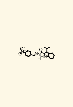 CC(C)c1c(C(=O)NN=Cc2ccc([N+](=O)[O-])cc2)[nH]c2ccccc12